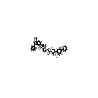 CC1(N)C=C(C2=NC=CCN2)C=CC(N2CCN(C(=O)CN3CC[C@@H](C(=O)Nc4ccc5[nH]nc(-c6ccncc6)c5c4)C3)CC2)=C1